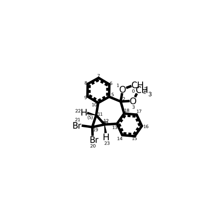 COC1(OC)c2ccccc2[C@@H]2[C@H](c3ccccc31)C2(Br)Br